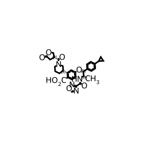 C[C@H](NC(=O)c1ncon1)[C@H](Oc1ccc(C(=O)O)c([C@@H]2CCCN(C(=O)[C@H]3COC(=O)C3)C2)c1)c1ccc(C2CC2)cc1